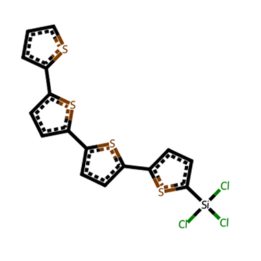 Cl[Si](Cl)(Cl)c1ccc(-c2ccc(-c3ccc(-c4cccs4)s3)s2)s1